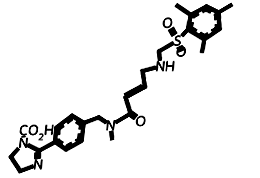 Cc1cc(C)c(S(=O)(=O)CNCC=CC(=O)N(C)Cc2ccc(C3=NCCN3C(=O)O)cc2)c(C)c1